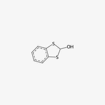 OC1Sc2ccccc2S1